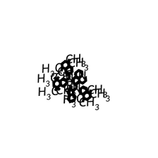 CC1(C)CCC(C)(C)c2cc(N3c4cc5c(cc4B4c6sc7ccccc7c6N(c6ccc7c(c6)C(C)(C)CCC7(C)C)c6c7c8c(c3c64)CCCN8CCC7)C(C)(C)CCC5(C)C)ccc21